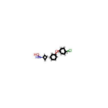 ON[C@H]1C[C@H](c2cccc(Oc3ccc(Cl)cc3)c2)C1